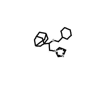 c1cn(CC(SCC2CCCCC2)C23CC4CC(CC(C4)C2)C3)cn1